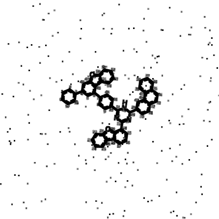 c1ccc(-c2cc(-c3ccc(C4=NC(c5cccc6c5oc5ccccc56)=NC(c5ccc6ccc7ccccc7c6c5)N4)cc3)c3c(c2)oc2ccccc23)cc1